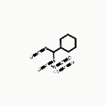 N=C=O.N=C=O.O=C=NC(N=C=O)C1CCCCC1